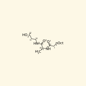 CCCCCCCCCC(=O)N[C@@H](C)C(=O)NCCC(=O)O